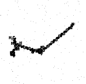 CCCCNc1nc(NCCOCCOCCC(=O)NCc2cc(F)c(OC(=O)CCOCCOCCOCCOCCOCCOCCN=[N+]=[N-])c(F)c2)nc(NCc2cccc(F)c2)n1